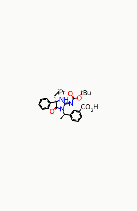 CC(C)C[C@]1(c2ccccc2)N/C(=N\C(=O)OC(C)(C)C)N([C@H](C)c2cccc(C(=O)O)c2)C1=O